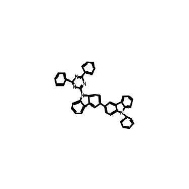 c1ccc(-c2nc(-c3ccccc3)nc(-n3c4ccccc4c4cc(-c5ccc6c(c5)c5ccccc5n6-c5ccccc5)ccc43)n2)cc1